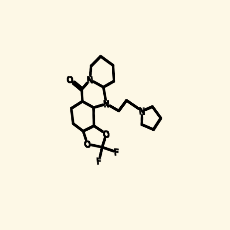 O=C1C2CCC3OC(F)(F)OC3C2N(CCN2CCCC2)C2CCCCN12